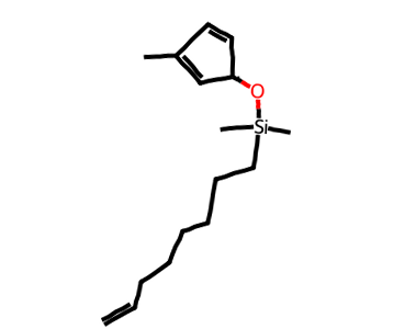 C=CCCCCCC[Si](C)(C)O[C]1C=CC(C)=C1